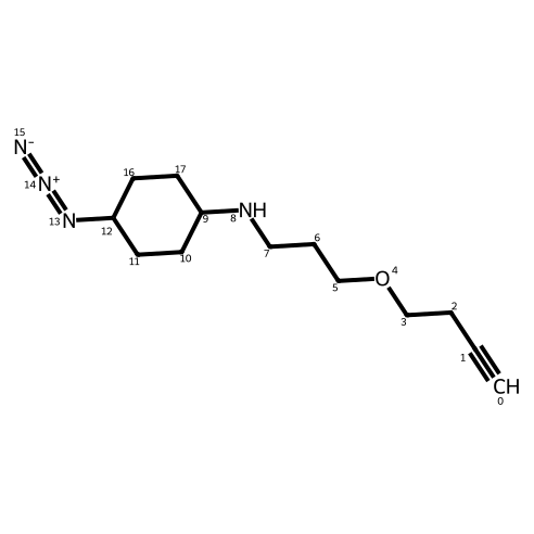 C#CCCOCCCNC1CCC(N=[N+]=[N-])CC1